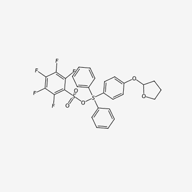 O=S(=O)(OS(c1ccccc1)(c1ccccc1)c1ccc(OC2CCCO2)cc1)c1c(F)c(F)c(F)c(F)c1F